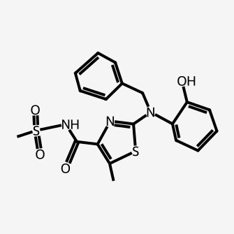 Cc1sc(N(Cc2ccccc2)c2ccccc2O)nc1C(=O)NS(C)(=O)=O